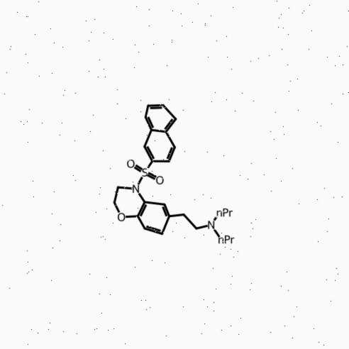 CCCN(CCC)CCc1ccc2c(c1)N(S(=O)(=O)c1ccc3ccccc3c1)CCO2